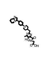 Cc1nc(CC2CCN(c3ccc(-c4cnc5ccccn45)cc3)CC2)nc(C(=O)NCC(=O)O)c1O